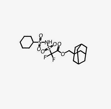 O=C(OCC12CC3CC(CC(C3)C1)C2)C(F)(F)S(=O)(=O)NS(=O)(=O)C1CCCCC1